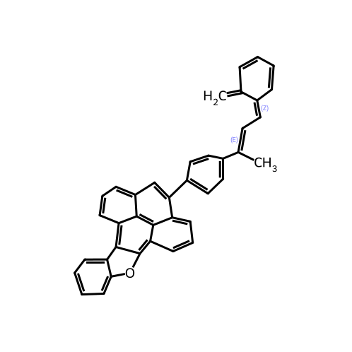 C=c1cccc/c1=C/C=C(\C)c1ccc(-c2cc3cccc4c5c6ccccc6oc5c5cccc2c5c34)cc1